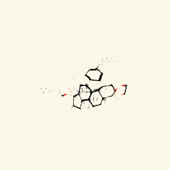 COCO[C@H]1CC[C@H]2[C@@H]3CC[C@H]4CC5(CC[C@]4(C)[C@H]3[C@@H](c3ccc(OC)cc3)C[C@]12C)OCCO5